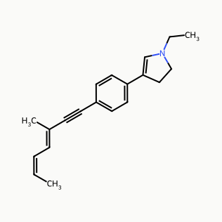 C/C=C\C=C(/C)C#Cc1ccc(C2=CN(CC)CC2)cc1